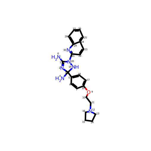 NC1=NC(N)(c2ccc(OCCN3CCCC3)cc2)NN1c1ccc2ccccc2n1